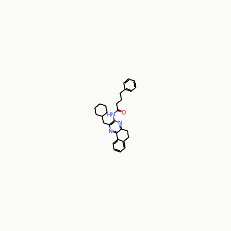 O=C(CCCc1ccccc1)Nc1nc2c(nc1CC1CCCCC1)-c1ccccc1CC2